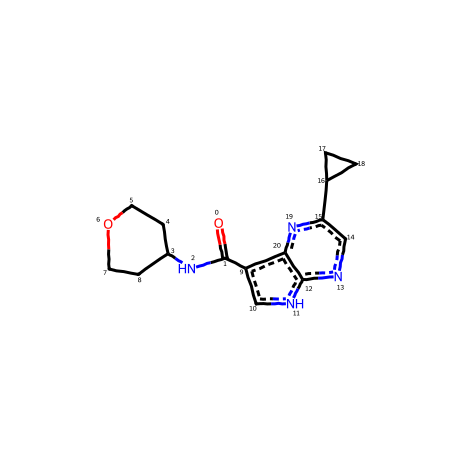 O=C(NC1CCOCC1)c1c[nH]c2ncc(C3CC3)nc12